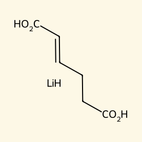 O=C(O)C=CCCC(=O)O.[LiH]